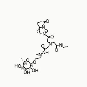 CCNC(=O)CN(CC(=O)NNCCO[C@@H]1O[C@@H](C)[C@@H](O)[C@@H](O)[C@@H]1O)CC(=O)NON1C(=O)CCC1=O